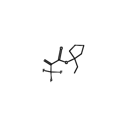 C=C(C(=O)OC1(CC)CCCC1)C(F)(F)F